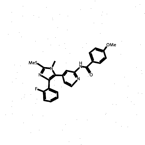 COc1ccc(C(=O)Nc2cc(-c3c(-c4ccccc4F)nc(SC)n3C)ccn2)cc1